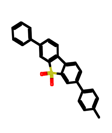 Cc1ccc(-c2ccc3c(c2)S(=O)(=O)c2cc(-c4ccccc4)ccc2-3)cc1